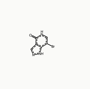 O=c1[nH]cc(Br)c2[nH]ncc12